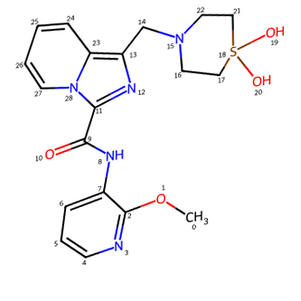 COc1ncccc1NC(=O)c1nc(CN2CCS(O)(O)CC2)c2ccccn12